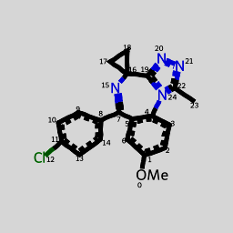 COc1ccc2c(c1)C(c1ccc(Cl)cc1)=NC1(CC1)c1nnc(C)n1-2